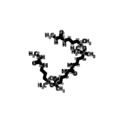 CNC(=O)NCCC[Si](C)(C)O[Si](C)(C)CCCNC(=O)NCCC[Si](C)(C)O[Si](C)(C)CCCNC(=O)NC